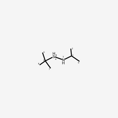 CC(C)N[SiH2]C(C)(C)C